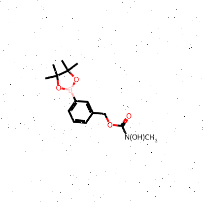 CN(O)C(=O)OCc1cccc(B2OC(C)(C)C(C)(C)O2)c1